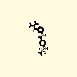 CC(C)N(C(=O)c1cccc(NC(=O)C2CCC(NS(=O)(=O)C(C)C)CC2)c1)C(C)C